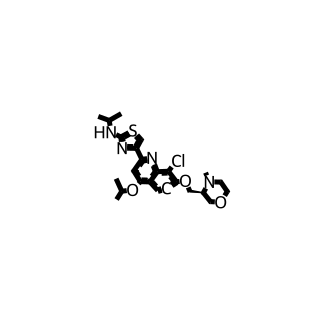 CC(C)Nc1nc(-c2cc(OC(C)C)c3ccc(OC[C@@H]4COCCN4C)c(Cl)c3n2)cs1